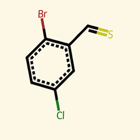 S=Cc1cc(Cl)ccc1Br